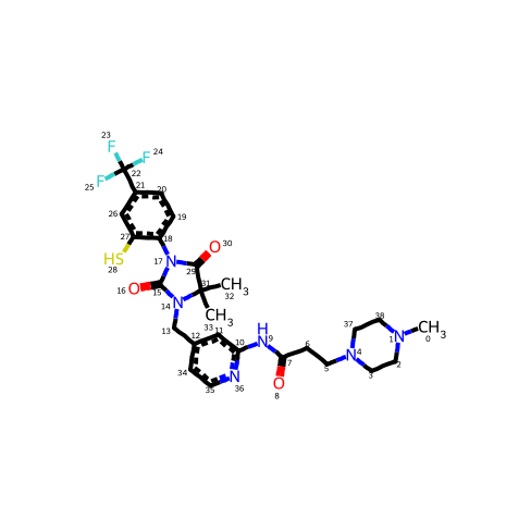 CN1CCN(CCC(=O)Nc2cc(CN3C(=O)N(c4ccc(C(F)(F)F)cc4S)C(=O)C3(C)C)ccn2)CC1